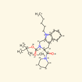 CCCCCn1c2c(c3ccccc31)C[C@@](C)(C(=O)N1CCCCC1)N(C(=O)OC(C)(C)C)C2